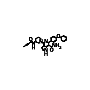 CC#CC(=O)N[C@@H]1CCCN(c2nc(-c3ccc(Oc4ccccc4)cc3)c(C(N)=O)c3[nH]ccc23)C1